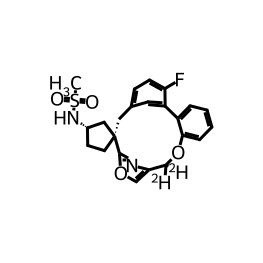 [2H]C1([2H])Oc2ccccc2-c2cc(ccc2F)C[C@@]2(CC[C@H](NS(C)(=O)=O)C2)c2nc1co2